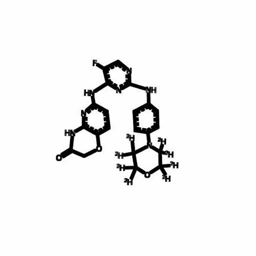 [2H]C1([2H])OC([2H])([2H])C([2H])([2H])N(c2ccc(Nc3ncc(F)c(Nc4ccc5c(n4)NC(=O)CO5)n3)cc2)C1([2H])[2H]